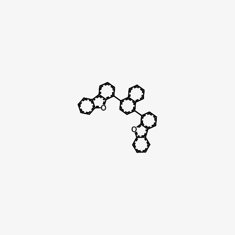 c1ccc2c(c1)oc1c(-c3ccc(-c4cccc5c4oc4ccccc45)c4ccccc34)cccc12